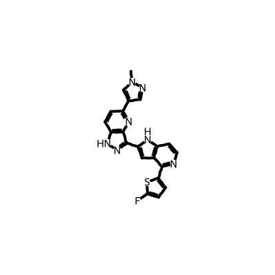 Cn1cc(-c2ccc3[nH]nc(-c4cc5c(-c6ccc(F)s6)nccc5[nH]4)c3n2)cn1